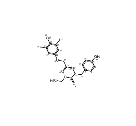 CCOC(=O)[C@H](Cc1ccc(O)cc1)NC(=O)COc1cc(I)c(O)c(I)c1